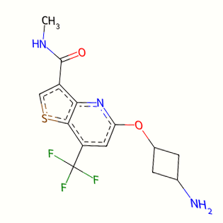 CNC(=O)c1csc2c(C(F)(F)F)cc(OC3CC(N)C3)nc12